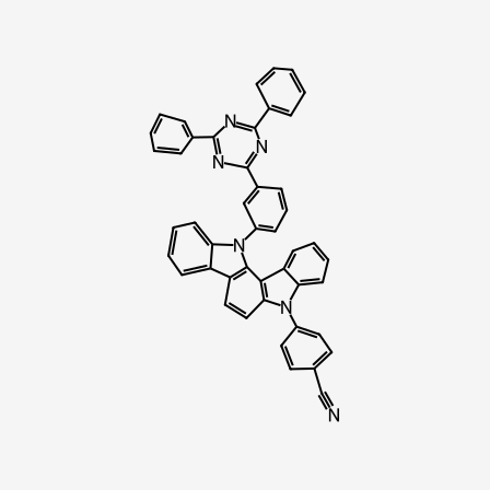 N#Cc1ccc(-n2c3ccccc3c3c2ccc2c4ccccc4n(-c4cccc(-c5nc(-c6ccccc6)nc(-c6ccccc6)n5)c4)c23)cc1